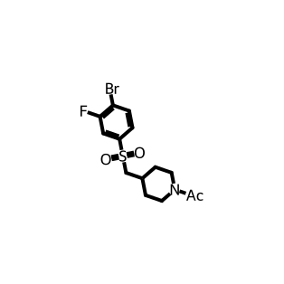 CC(=O)N1CCC(CS(=O)(=O)c2ccc(Br)c(F)c2)CC1